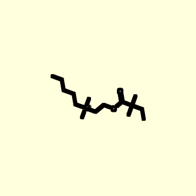 CCCCC[N+](C)(C)CCOC(=O)C(C)(C)CC